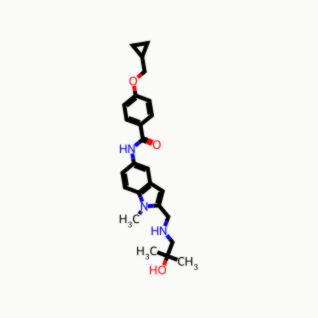 Cn1c(CNCC(C)(C)O)cc2cc(NC(=O)c3ccc(OCC4CC4)cc3)ccc21